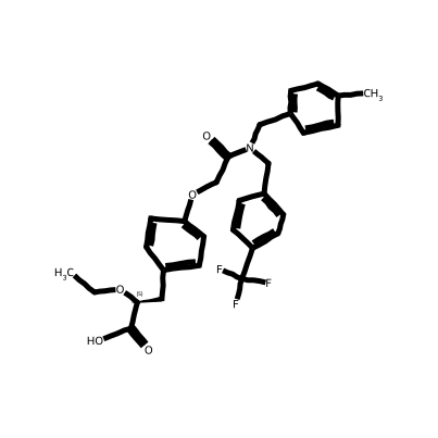 CCO[C@@H](Cc1ccc(OCC(=O)N(Cc2ccc(C)cc2)Cc2ccc(C(F)(F)F)cc2)cc1)C(=O)O